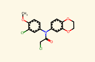 COc1ccc(N(C(=O)CCl)c2ccc3c(c2)OCCO3)cc1Cl